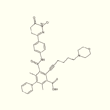 COC(=O)c1c(C)c(N2C=CCC=C2)c(C)c(C(=O)Nc2ccc(C3=N[NH+]([O-])C(=O)CC3)cc2)c1C#CCCCCN1CCOCC1